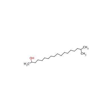 [CH2]C(O)CCCCCCCCCCCCCCC(C)C